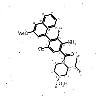 COc1cc(-c2c(Cl)cc(C(=O)N3CCN(C(=O)O)C[C@H]3C(F)F)c(N)c2F)c2ccccc2c1